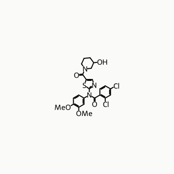 COc1ccc(N(C(=O)c2ccc(Cl)cc2Cl)c2ncc(C(=O)N3CCCC(O)C3)s2)cc1OC